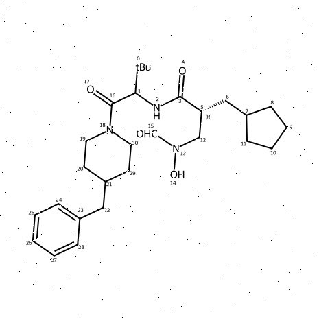 CC(C)(C)C(NC(=O)[C@H](CC1CCCC1)CN(O)C=O)C(=O)N1CCC(Cc2ccccc2)CC1